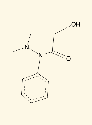 CN(C)N(C(=O)CO)c1ccccc1